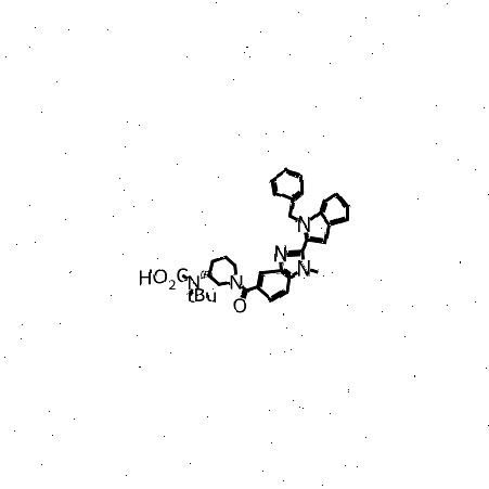 Cn1c(-c2cc3ccccc3n2Cc2ccccc2)nc2cc(C(=O)N3CCC[C@@H](N(C(=O)O)C(C)(C)C)C3)ccc21